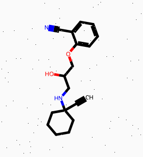 C#CC1(NCC(O)COc2ccccc2C#N)CCCCC1